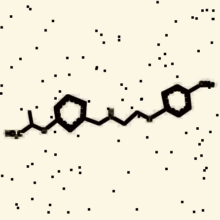 COc1ccc(OCCNCc2cccc(OC(C)C(=O)O)c2)cc1